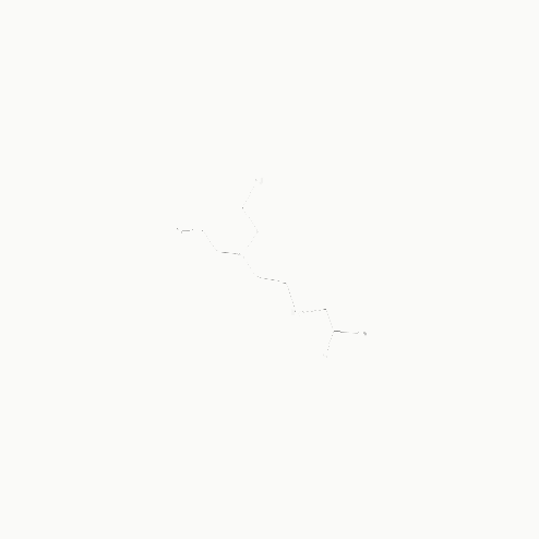 CCCCC(N)CNCCN(CCN)CCN